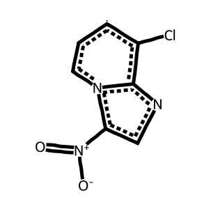 O=[N+]([O-])c1cnc2c(Cl)[c]ccn12